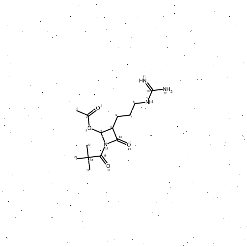 CC(=O)OC1C(CCCNC(=N)N)C(=O)N1C(=O)C(C)(C)C